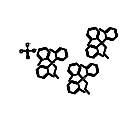 CCC[P+](c1ccccc1C)(c1ccccc1C)c1ccccc1C.CCC[P+](c1ccccc1C)(c1ccccc1C)c1ccccc1C.CCC[P+](c1ccccc1C)(c1ccccc1C)c1ccccc1C.O=P([O-])([O-])[O-]